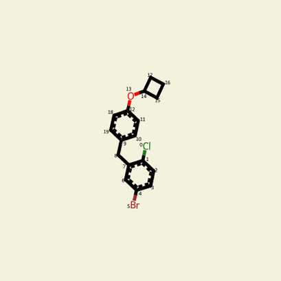 Clc1ccc(Br)cc1Cc1ccc(OC2CCC2)cc1